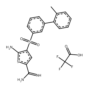 Cc1ccccc1-c1cccc(S(=O)(=O)c2cc(C(=N)N)sc2N)c1.O=C(O)C(F)(F)F